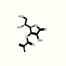 C=C(C)C(=O)OC1=C(O)C(=O)O[C@@H]1[C@@H](O)CO